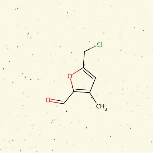 Cc1cc(CCl)oc1C=O